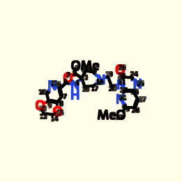 COC(=O)C1(NCc2cc3c(cn2)OCCO3)CCN(CCn2c(=O)cnc3ccc(OC)nc32)CC1